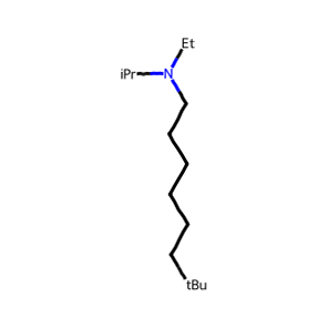 CCN(CCCCCCC(C)(C)C)C(C)C